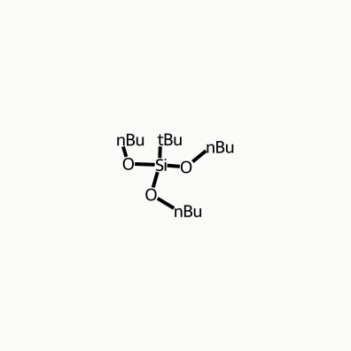 CCCCO[Si](OCCCC)(OCCCC)C(C)(C)C